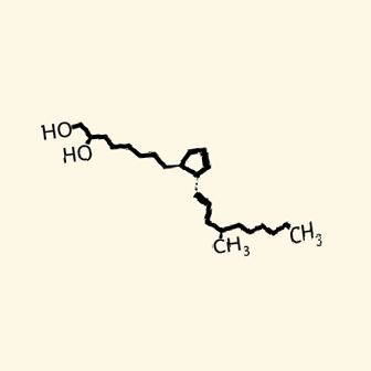 CCCCCC[C@@H](C)CC=C[C@H]1C=CC[C@@H]1CCCCCCC(O)CO